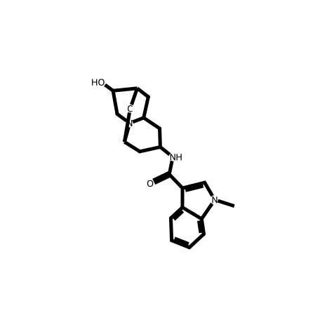 Cn1cc(C(=O)NC2CC3CC4CC(C2)N3CC4O)c2ccccc21